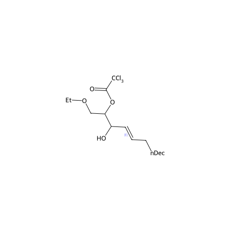 CCCCCCCCCCC/C=C/C(O)C(COCC)OC(=O)C(Cl)(Cl)Cl